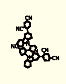 N#Cc1ccc(-c2ccc3c(c2)c2ccccc2n3-c2ccncc2-c2cc(C#N)ccc2-n2c3ccccc3c3cc(-c4ccc(C#N)cc4C#N)ccc32)c(C#N)c1